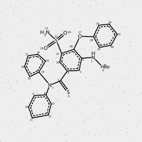 CCCCNc1cc(C(=S)N(c2ccccc2)c2ccccc2)cc(S(N)(=O)=O)c1Oc1ccccc1